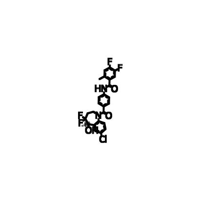 Cc1cc(F)c(F)cc1C(=O)Nc1ccc(C(=O)N2CCC(F)(F)[C@](C)(O)c3cc(Cl)ccc32)cc1